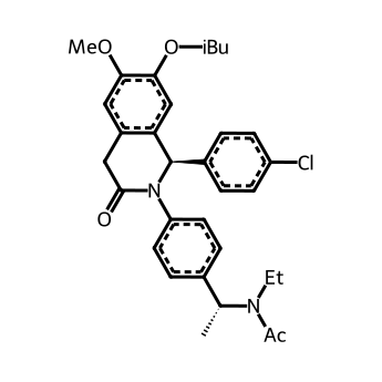 CCC(C)Oc1cc2c(cc1OC)CC(=O)N(c1ccc([C@@H](C)N(CC)C(C)=O)cc1)[C@@H]2c1ccc(Cl)cc1